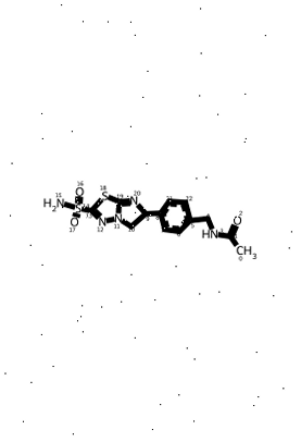 CC(=O)NCc1ccc(C2CN3N=C(S(N)(=O)=O)SC3=N2)cc1